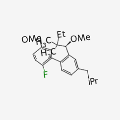 CCC(C)(C)[C@@H](OC)c1cc(CC(C)C)ccc1-c1cc(OC)ccc1F